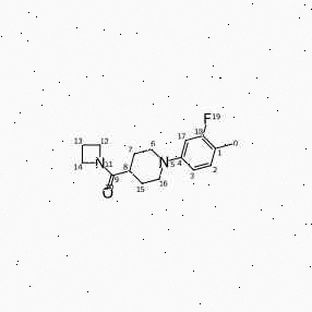 Cc1ccc(N2CCC(C(=O)N3CCC3)CC2)cc1F